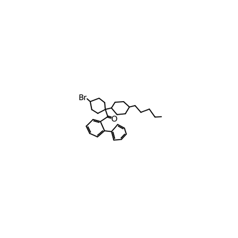 CCCCCC1CCC(C2(C(=O)c3ccccc3-c3ccccc3)CCC(Br)CC2)CC1